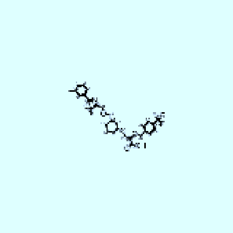 Cc1cccc(-c2nc(COC[C@H]3CCC[C@@H](OC[C@@H](OCc4ccc(C(F)(F)F)cc4)C(=O)O)C3)c(C)o2)c1